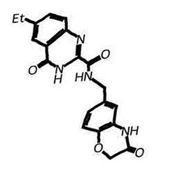 CCc1ccc2nc(C(=O)NCc3ccc4c(c3)NC(=O)CO4)[nH]c(=O)c2c1